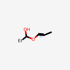 C/C=C/OC(O)CC